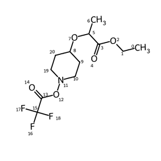 CCOC(=O)C(C)OC1CCN(OC(=O)C(F)(F)F)CC1